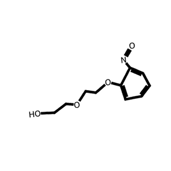 O=Nc1ccccc1OCCOCCO